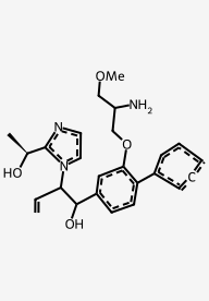 C=CC(C(O)c1ccc(-c2ccccc2)c(OCC(N)COC)c1)n1ccnc1[C@H](C)O